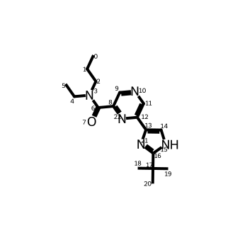 CCCN(CC)C(=O)c1cncc(-c2c[nH]c(C(C)(C)C)n2)n1